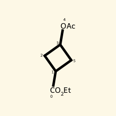 CCOC(=O)C1CC(OC(C)=O)C1